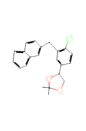 CC1(C)OC[C](c2ccc(Cl)c(Cc3ccc4ccccc4c3)c2)O1